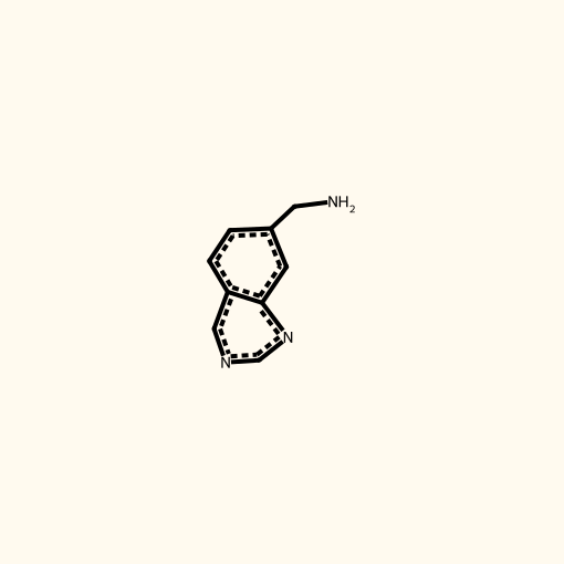 NCc1ccc2cncnc2c1